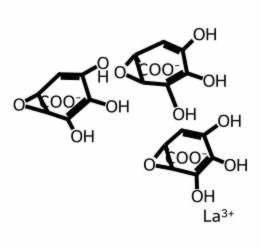 O=C([O-])C12C=C(O)C(O)=C(O)C1O2.O=C([O-])C12C=C(O)C(O)=C(O)C1O2.O=C([O-])C12C=C(O)C(O)=C(O)C1O2.[La+3]